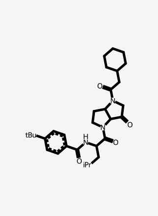 CC(C)CC(NC(=O)c1ccc(C(C)(C)C)cc1)C(=O)N1CCC2C1C(=O)CN2C(=O)CC1CCCCC1